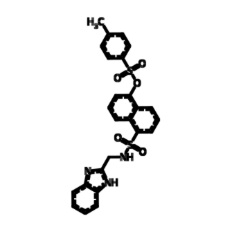 Cc1ccc(S(=O)(=O)Oc2cccc3c(S(=O)(=O)NCc4nc5ccccc5[nH]4)cccc23)cc1